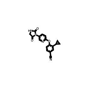 N#Cc1ccc(Oc2ccc(N3C(=O)CNC3=O)cn2)c(C2CC2)c1